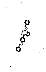 O=C(c1ccc(OCc2ccccc2)cc1)C1CCCN1C(=O)OCc1ccccc1